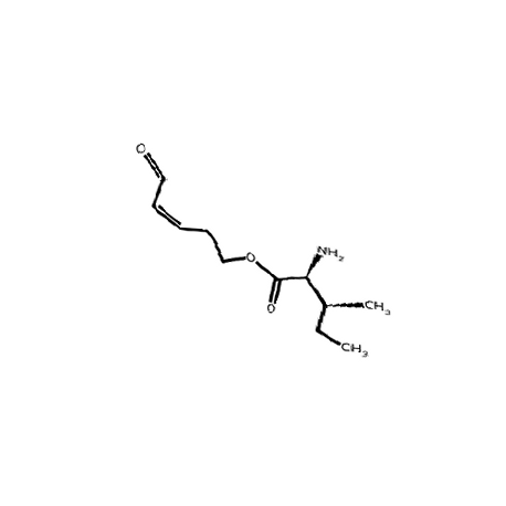 CC[C@H](C)[C@H](N)C(=O)OCC/C=C\[C]=O